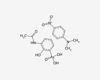 CC(=O)Nc1cccc([As](=O)(O)O)c1O.CN(C)c1ccc([N+](=O)[O-])cc1